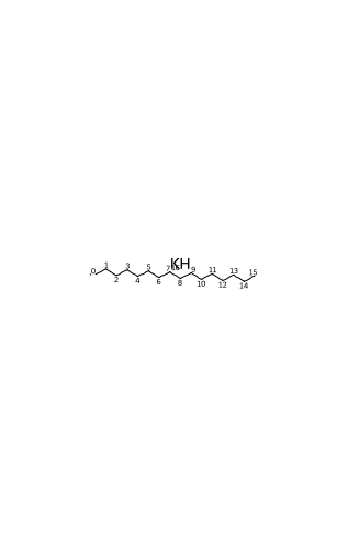 [CH2]CCCCCCCCCCCCCCC.[KH]